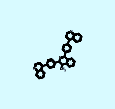 CC1c2ccccc2C(c2ccc(-c3ccnc4ccccc34)cc2)=NC1c1c#cc(-c2ccnc3ccccc23)cc1